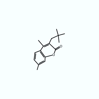 Cc1ccc2c(C)c(CC(C)(C)C)c(=O)oc2c1